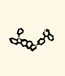 c1ccc(-n2c3ccccc3c3cc4cc5ccn(-c6ccc(-c7cncc8ccccc78)cc6)c5cc4cc32)cc1